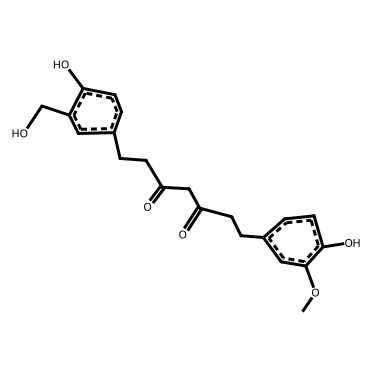 COc1cc(CCC(=O)CC(=O)CCc2ccc(O)c(CO)c2)ccc1O